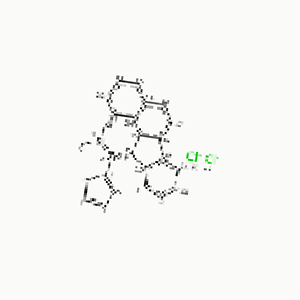 C[Si](C)=[Zr+2]([C]1=CC=CC1)[CH]1c2ccccc2-c2ccc3ccccc3c21.[Cl-].[Cl-]